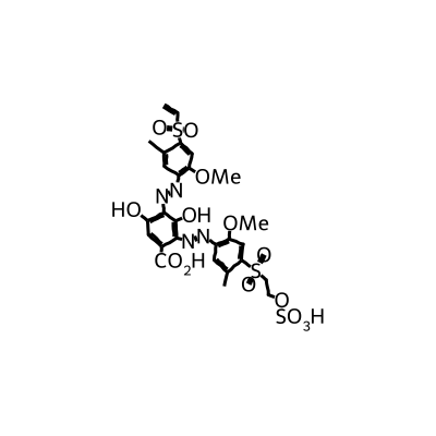 C=CS(=O)(=O)c1cc(OC)c(N=Nc2c(O)cc(C(=O)O)c(N=Nc3cc(C)c(S(=O)(=O)CCOS(=O)(=O)O)cc3OC)c2O)cc1C